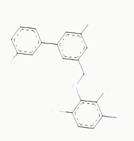 Cc1cc(CNc2c(F)ccc(I)c2C)cc(-c2cccc(F)c2)c1